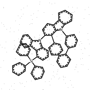 c1ccc(-c2cccc(-n3c4ccccc4c4ccc(-n5c6ccccc6c6c([Si](c7ccccc7)(c7ccccc7)c7ccccc7)cccc65)c(-c5ccccc5)c43)c2)cc1